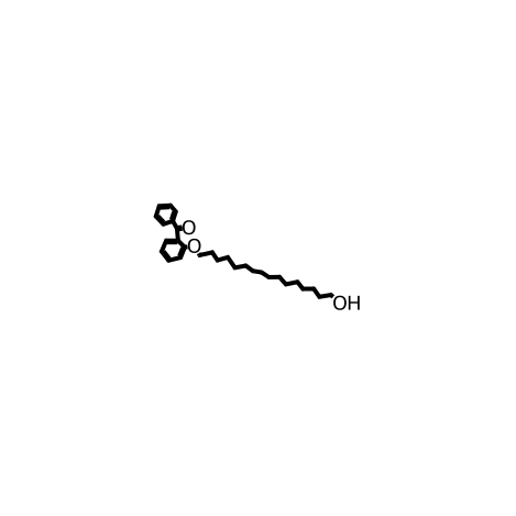 O=C(c1ccccc1)c1ccccc1OCCCCCCCCCCCCCCCCO